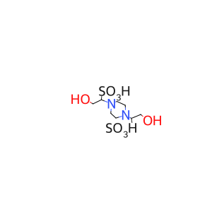 O=S(=O)(O)C(CO)N1CCN(C(CO)S(=O)(=O)O)CC1